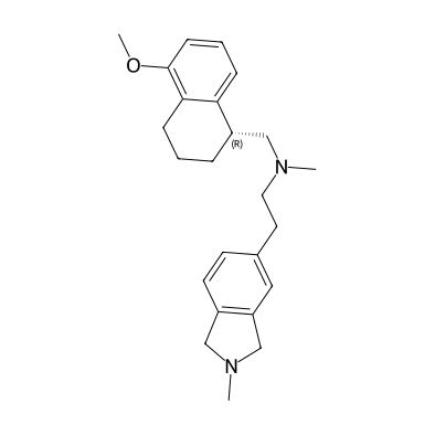 COc1cccc2c1CCC[C@H]2CN(C)CCc1ccc2c(c1)CN(C)C2